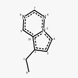 CCc1ccn2ncncc12